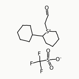 O=CC[S+]1CCCCC1C1CCCCC1.O=S(=O)([O-])C(F)(F)F